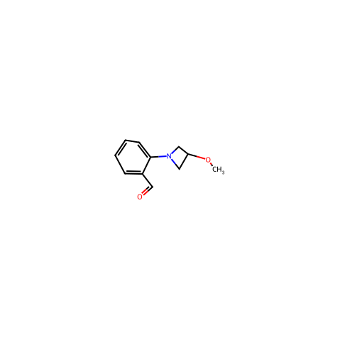 COC1CN(c2ccccc2C=O)C1